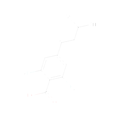 CC(C)CCc1cc(F)c(C(=O)O)c(F)c1